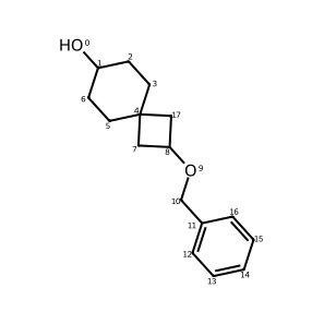 OC1CCC2(CC1)CC(OCc1ccccc1)C2